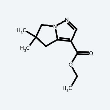 CCOC(=O)c1cnn2c1CC(C)(C)C2